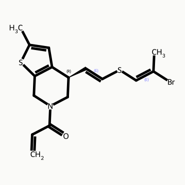 C=CC(=O)N1Cc2sc(C)cc2[C@@H](/C=C/S/C=C(\C)Br)C1